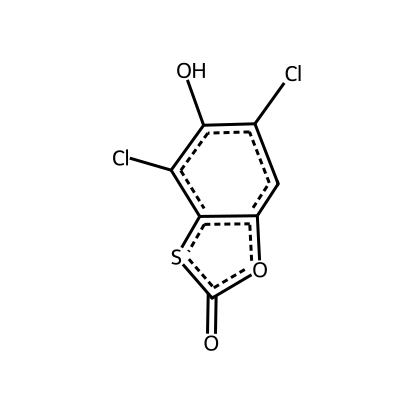 O=c1oc2cc(Cl)c(O)c(Cl)c2s1